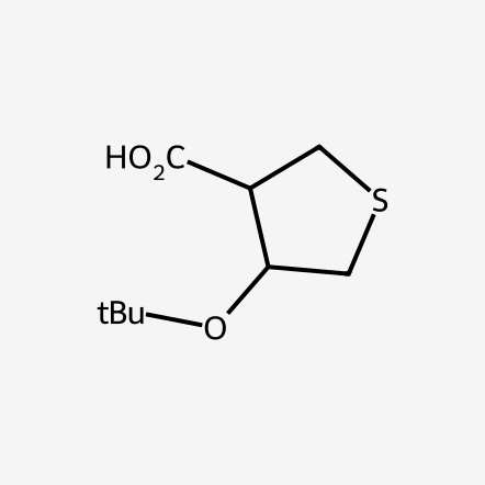 CC(C)(C)OC1CSCC1C(=O)O